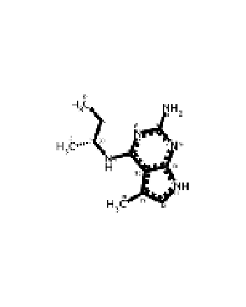 CC[C@@H](C)Nc1nc(N)nc2[nH]cc(C)c12